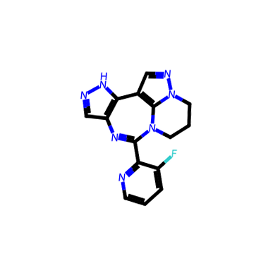 Fc1cccnc1C1=Nc2cn[nH]c2-c2cnn3c2N1CCC3